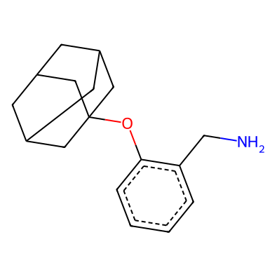 NCc1ccccc1OC12CC3CC(CC(C3)C1)C2